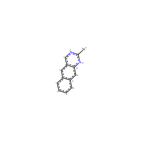 [2H]c1ncc2cc3ccccc3cc2n1